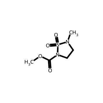 COC(=O)N1CCN(C)S1(=O)=O